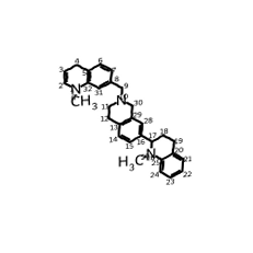 CN1C=CCc2ccc(CN3CCc4ccc(C5CCc6ccccc6N5C)cc4C3)cc21